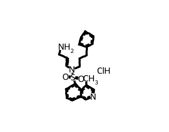 Cc1cncc2cccc(S(=O)(=O)N(C=CCN)CCCc3ccccc3)c12.Cl